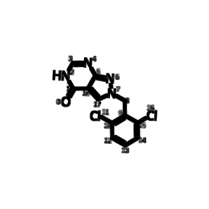 O=c1[nH]cnc2nn(Cc3c(Cl)cccc3Cl)cc12